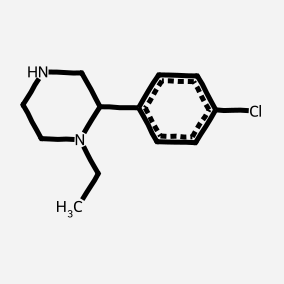 CCN1CCNCC1c1ccc(Cl)cc1